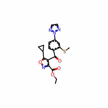 CCOC(=O)c1noc(C2CC2)c1C(=O)c1ccc(-n2nccn2)cc1SC